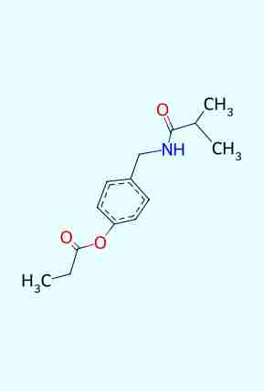 CCC(=O)Oc1ccc(CNC(=O)C(C)C)cc1